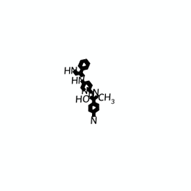 Cc1nn(-c2ccc(N/C=C(\C=N)c3ccccc3)cn2)c(O)c1-c1ccc(C#N)cc1